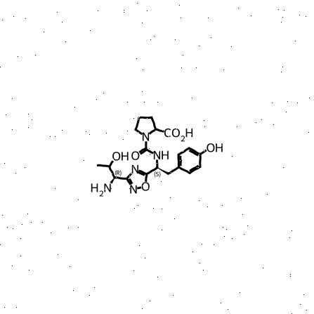 CC(O)[C@H](N)c1noc([C@H](Cc2ccc(O)cc2)NC(=O)N2CCCC2C(=O)O)n1